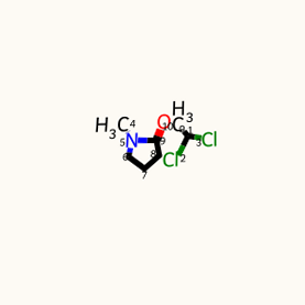 CC(Cl)Cl.CN1CCCC1=O